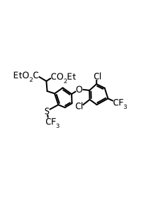 CCOC(=O)C(Cc1cc(Oc2c(Cl)cc(C(F)(F)F)cc2Cl)ccc1SC(F)(F)F)C(=O)OCC